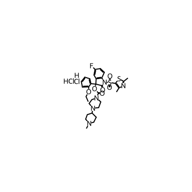 CCOc1ccccc1C1(OC(=O)N2CCN(C3CCN(C)CC3)CC2)C(=O)N(S(=O)(=O)c2sc(C)nc2C)c2ccc(F)cc21.Cl.Cl